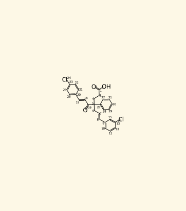 O=C(O)CCC(CC=Cc1cccc(Cl)c1)(C(=O)C=Cc1ccc(Cl)cc1)c1ccccc1